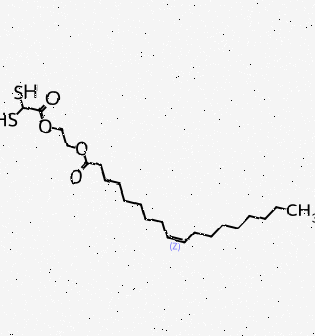 CCCCCCCC/C=C\CCCCCCCC(=O)OCCOC(=O)C(S)S